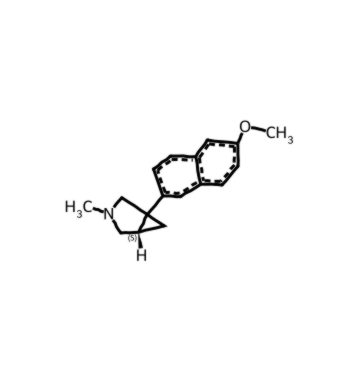 COc1ccc2cc(C34C[C@@H]3CN(C)C4)ccc2c1